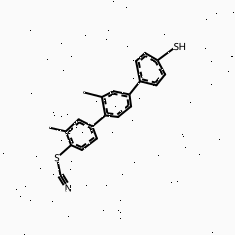 Cc1cc(-c2ccc(-c3ccc(S)cc3)cc2C)ccc1SC#N